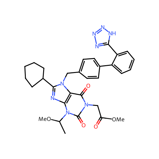 COC(=O)Cn1c(=O)c2c(nc(C3CCCCC3)n2Cc2ccc(-c3ccccc3-c3nnn[nH]3)cc2)n(C(C)OC)c1=O